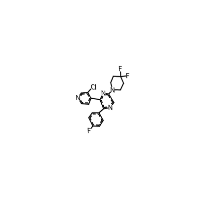 Fc1ccc(-c2ncc(N3CCC(F)(F)CC3)nc2-c2ccncc2Cl)cc1